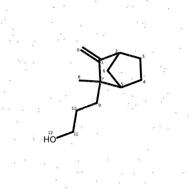 C=C1C2CCC(C2)C1(C)CCCO